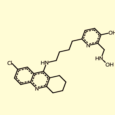 ONCc1nc(CCCCNc2c3c(nc4ccc(Cl)cc24)CCCC3)ccc1O